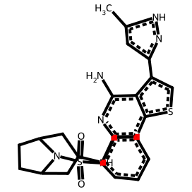 Cc1cc(-c2csc3nc(NC4CC5CCC(C4)N5S(=O)(=O)c4ccccn4)nc(N)c23)n[nH]1